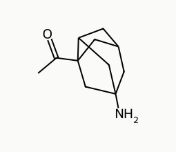 CC(=O)C12CC3CC1CC(N)(C3)C2